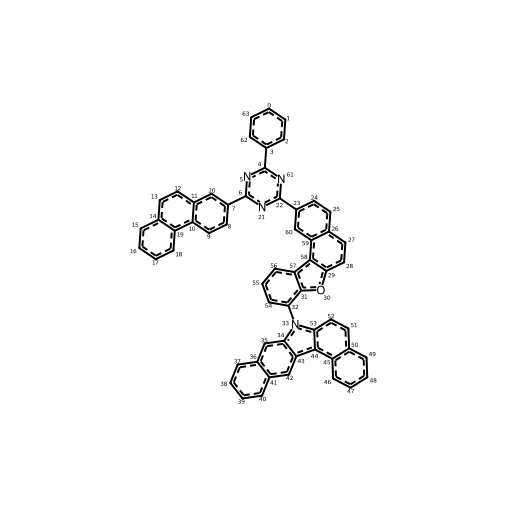 c1ccc(-c2nc(-c3ccc4c(ccc5ccccc54)c3)nc(-c3ccc4ccc5oc6c(-n7c8cc9ccccc9cc8c8c9ccccc9ccc87)cccc6c5c4c3)n2)cc1